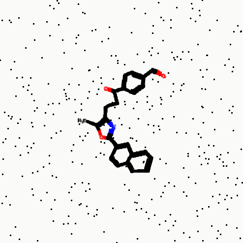 Cc1oc(-c2ccc3ccccc3c2)nc1CCC(=O)c1ccc(C=O)cc1